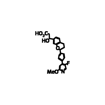 COc1cc(-c2ccc(C3CCc4ccc([C@H](O)CC(=O)O)cc4O3)cc2)c(F)cn1